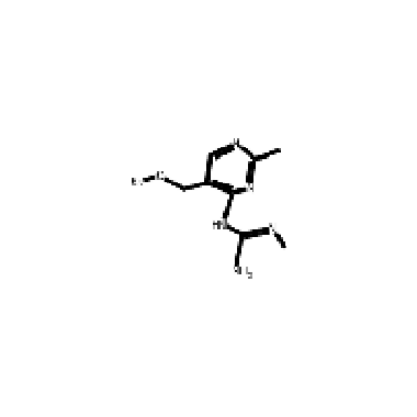 CCOCc1cnc(C)nc1NC(N)=NC